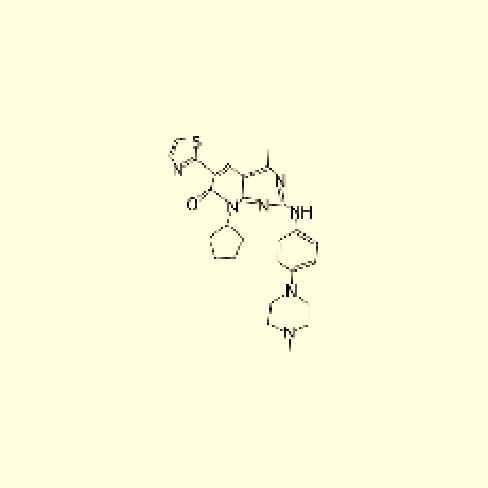 Cc1nc(Nc2ccc(N3CCN(C)CC3)cc2)nc2c1cc(-c1nccs1)c(=O)n2C1CCCC1